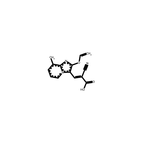 C=COc1nc2c(C)cccn2c1/C=C(\C#N)C(=O)O